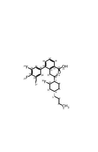 CCCC[C@H]1CC[C@H](C(F)Cc2c(C(=O)O)cccc2-c2cc(F)c(F)c(F)c2)C(F)C1